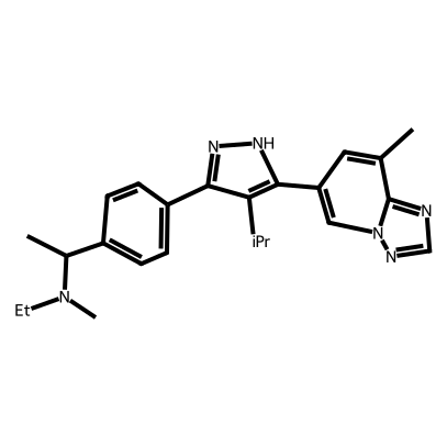 CCN(C)C(C)c1ccc(-c2n[nH]c(-c3cc(C)c4ncnn4c3)c2C(C)C)cc1